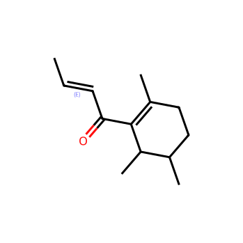 C/C=C/C(=O)C1=C(C)CCC(C)C1C